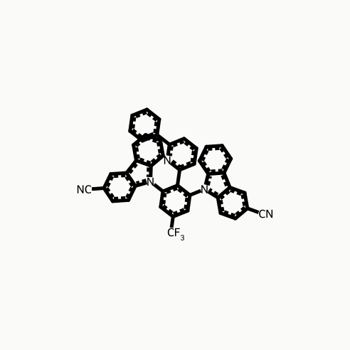 N#Cc1ccc2c(c1)c1ccccc1n2-c1cc(C(F)(F)F)cc(-n2c3ccccc3c3cc(C#N)ccc32)c1-c1cccc(-c2ccccc2)n1